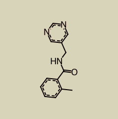 Cc1ccccc1C(=O)NCc1cncnc1